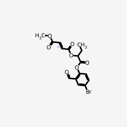 CCC(OC(=O)/C=C/C(=O)OC)C(=O)Oc1ccc(Br)cc1C=O